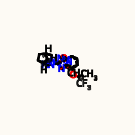 Cc1noc(N2C[C@H]3CC[C@@H](C2)[C@@H]3Nc2nc3c(OC(C)C(F)(F)F)cccn3n2)n1